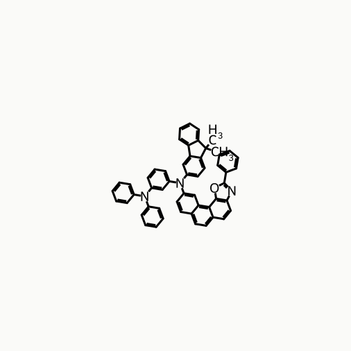 CC1(C)c2ccccc2-c2cc(N(c3cccc(N(c4ccccc4)c4ccccc4)c3)c3ccc4ccc5ccc6nc(-c7ccccc7)oc6c5c4c3)ccc21